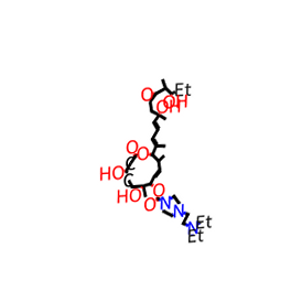 CCC(O)C(C)C1OC1CC(C)(O)/C=C/C=C(\C)C1OC(=O)CC(O)CCC(C)(O)C(OC(=O)N2CCN(CCN(CC)CC)CC2)/C=C/C1C